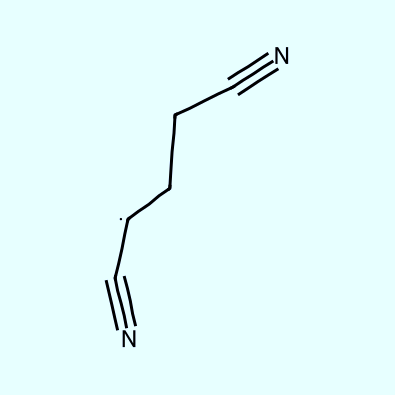 N#C[CH]CCC#N